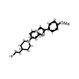 COc1ccc(-c2cn3ccc(N4CCC(CCF)CC4)cc3n2)cc1